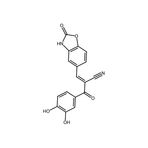 N#C/C(=C\c1ccc2oc(=O)[nH]c2c1)C(=O)c1ccc(O)c(O)c1